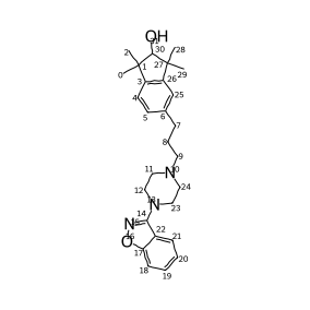 CC1(C)c2ccc(CCCN3CCN(c4noc5ccccc45)CC3)cc2C(C)(C)C1O